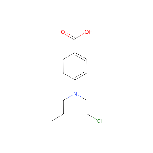 CCCN(CCCl)c1ccc(C(=O)O)cc1